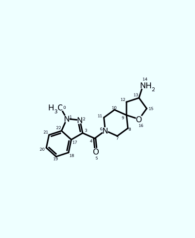 Cn1nc(C(=O)N2CCC3(CC2)CC(N)CO3)c2ccccc21